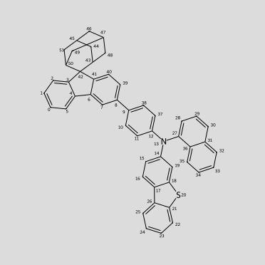 c1ccc2c(c1)-c1cc(-c3ccc(N(c4ccc5c(c4)sc4ccccc45)c4cccc5ccccc45)cc3)ccc1C21C2CC3CC(C2)CC1C3